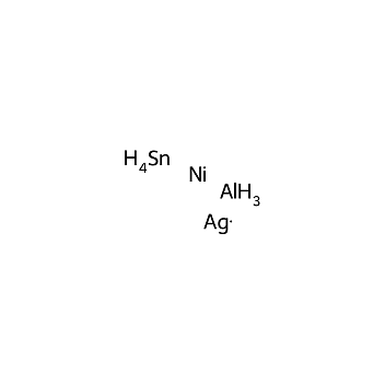 [Ag].[AlH3].[Ni].[SnH4]